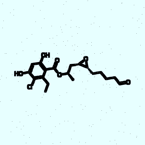 CCc1c(Cl)c(O)cc(O)c1C(=O)O[C@H](C)C[C@H]1O[C@@H]1CCCCC=O